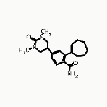 CN1CC(c2ccc(C(N)=O)c(C3=CCCCCC3)c2)CN(C)C1=O